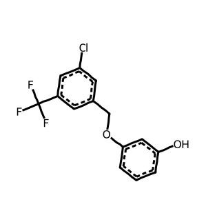 Oc1cccc(OCc2cc(Cl)cc(C(F)(F)F)c2)c1